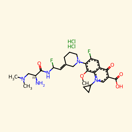 COc1c(N2CCCC(=CC(F)NC(=O)[C@@H](N)CN(C)C)C2)c(F)cc2c(=O)c(C(=O)O)cn(C3CC3)c12.Cl.Cl